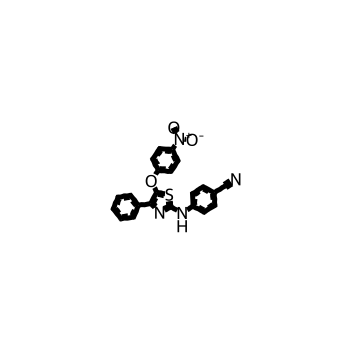 N#Cc1ccc(Nc2nc(-c3ccccc3)c(Oc3ccc([N+](=O)[O-])cc3)s2)cc1